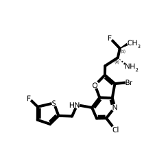 C[C@H](F)[C@H](N)Cc1oc2c(NCc3ccc(F)s3)cc(Cl)nc2c1Br